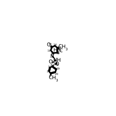 Cc1ccc(S(=O)(=O)N/N=C2/CC(=O)CC(C)(C)C2)cc1